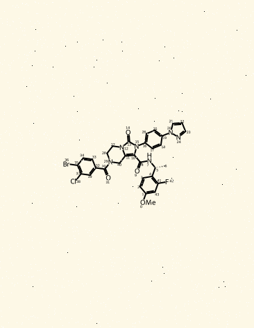 COc1ccc([C@@H](C)NC(=O)c2c3n(c(=O)n2-c2ccc(-n4cccn4)cc2)CCN(C(=O)c2ccc(Br)c(Cl)c2)C3)c(F)c1